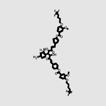 COc1cc(C(=O)Oc2ccc(/C=C/C(=O)C(O)C(c3ccc(N)cc3N)C(O)C(=O)/C=C/c3ccc(OC(=O)c4ccc(OCCCCC(F)(F)F)c(OC)c4)cc3)cc2)ccc1OCCCCC(F)(F)F